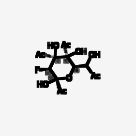 CC(=O)C(O)[C@H]1O[C@@](O)(C(C)=O)[C@@H](F)[C@](O)(C(C)=O)[C@]1(O)C(C)=O